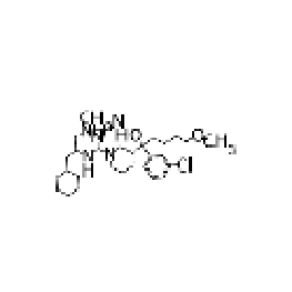 CNCC(CC1CCCCC1)NC(=NC#N)N1CCC[C@@H]([C@@](O)(CCCCOC)c2cccc(Cl)c2)C1